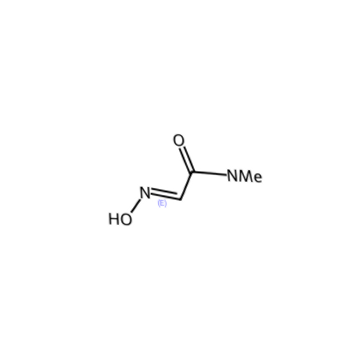 CNC(=O)/C=N/O